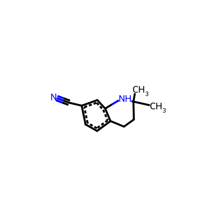 CC1(C)CCc2ccc(C#N)cc2N1